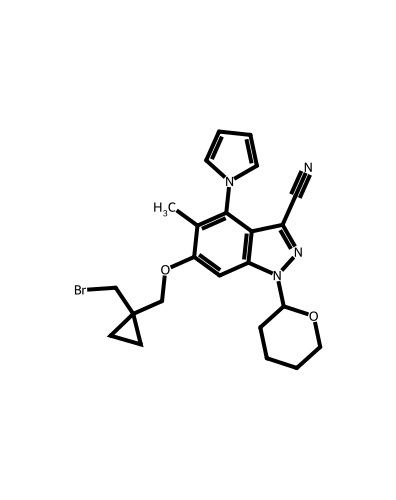 Cc1c(OCC2(CBr)CC2)cc2c(c(C#N)nn2C2CCCCO2)c1-n1cccc1